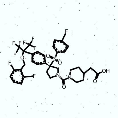 O=C(O)CC1CCN(C(=O)N2CC[C@](c3ccc(C(OCc4c(F)cccc4F)(C(F)(F)F)C(F)(F)F)cc3)(S(=O)(=O)c3ccc(F)cc3)C2)CC1